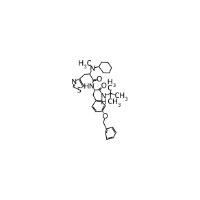 CN(C1CCCCC1)C(Cc1cscn1)C(=O)NC(Cc1ccc(OCc2ccccc2)cc1)C(=O)NC(C)(C)C